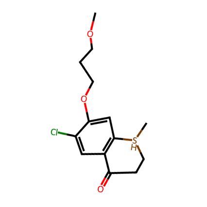 COCCCOc1cc2c(cc1Cl)C(=O)CC[SH]2C